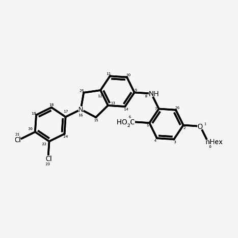 CCCCCCOc1ccc(C(=O)O)c(Nc2ccc3c(c2)CN(c2ccc(Cl)c(Cl)c2)C3)c1